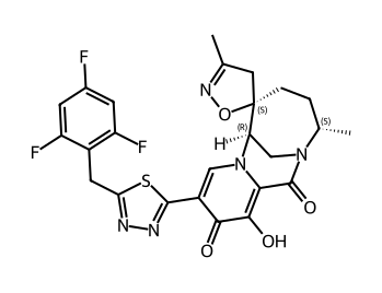 CC1=NO[C@@]2(CC[C@H](C)N3C[C@H]2n2cc(-c4nnc(Cc5c(F)cc(F)cc5F)s4)c(=O)c(O)c2C3=O)C1